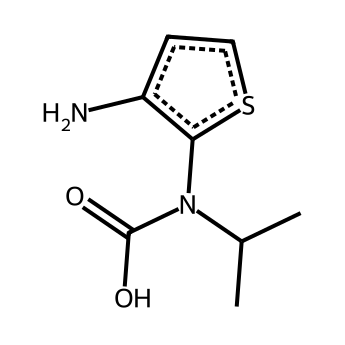 CC(C)N(C(=O)O)c1sccc1N